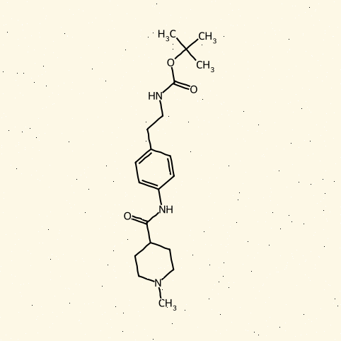 CN1CCC(C(=O)Nc2ccc(CCNC(=O)OC(C)(C)C)cc2)CC1